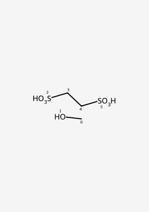 CO.O=S(=O)(O)CCS(=O)(=O)O